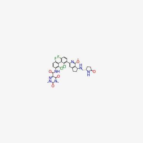 COc1nc(-c2ccc(F)c(-c3c(F)ccc(NC(=O)c4nn(C)c(=O)n(C)c4=O)c3Cl)c2Cl)cc2c1[C@@H](NC[C@@H]1CCC(=O)N1)CC2